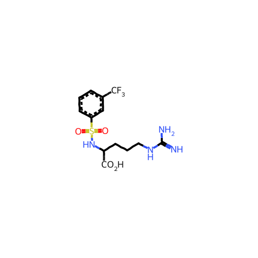 N=C(N)NCCCC(NS(=O)(=O)c1cccc(C(F)(F)F)c1)C(=O)O